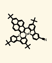 CC(C)(C)c1cc2ccc3c4c5c(c6ccc(c1)c2c36)-n1c2ccc(C(C)(C)C)cc2c2cc(C(C)(C)C)cc(c21)B5n1c2ccc(C#N)cc2c2cc(C(C)(C)C)cc-4c21